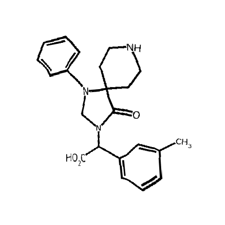 Cc1cccc(C(C(=O)O)N2CN(c3ccccc3)C3(CCNCC3)C2=O)c1